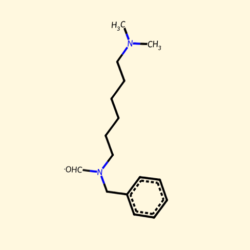 CN(C)CCCCCCN([C]=O)Cc1ccccc1